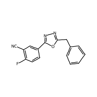 N#Cc1cc(-c2nnc(Cc3ccccc3)o2)ccc1F